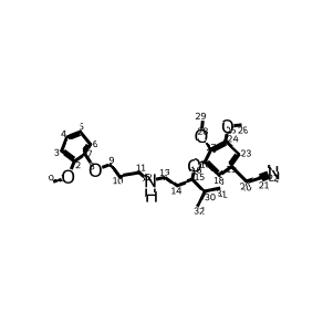 COc1ccccc1OCCCNCCC(Oc1cc(CC#N)cc(OC)c1OC)C(C)C